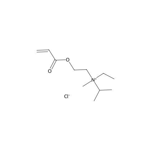 C=CC(=O)OCC[N+](C)(CC)C(C)C.[Cl-]